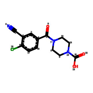 N#Cc1cc(C(=O)N2CCN(C(=O)O)CC2)ccc1Cl